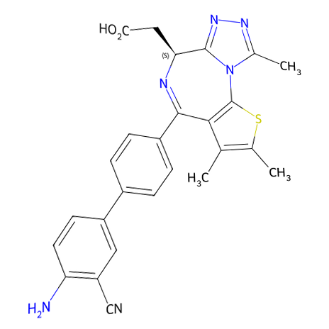 Cc1sc2c(c1C)C(c1ccc(-c3ccc(N)c(C#N)c3)cc1)=N[C@@H](CC(=O)O)c1nnc(C)n1-2